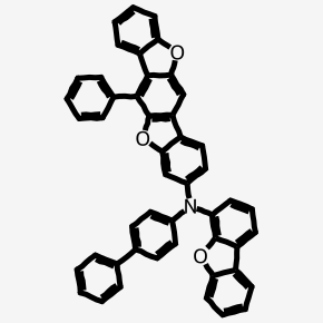 c1ccc(-c2ccc(N(c3ccc4c(c3)oc3c(-c5ccccc5)c5c(cc34)oc3ccccc35)c3cccc4c3oc3ccccc34)cc2)cc1